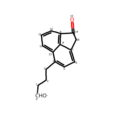 O=[C]CCCc1ccc2c3c(cccc13)C(=O)C2